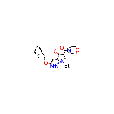 CCn1cc(C(=O)N2C3CCC2COC3)c(=O)c2cc(OC3Cc4ccccc4C3)nnc21